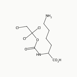 NCCCCC(NC(=O)OC(Cl)(Cl)CCl)C(=O)O